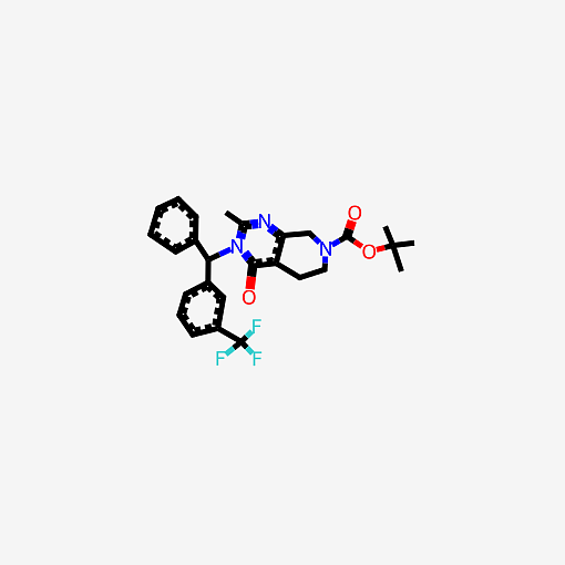 Cc1nc2c(c(=O)n1C(c1ccccc1)c1cccc(C(F)(F)F)c1)CCN(C(=O)OC(C)(C)C)C2